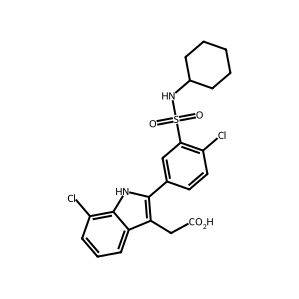 O=C(O)Cc1c(-c2ccc(Cl)c(S(=O)(=O)NC3CCCCC3)c2)[nH]c2c(Cl)cccc12